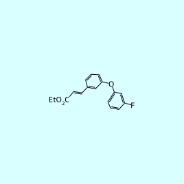 CCOC(=O)C=Cc1cccc(Oc2cccc(F)c2)c1